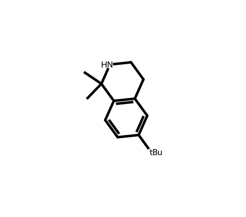 CC(C)(C)c1ccc2c(c1)CCNC2(C)C